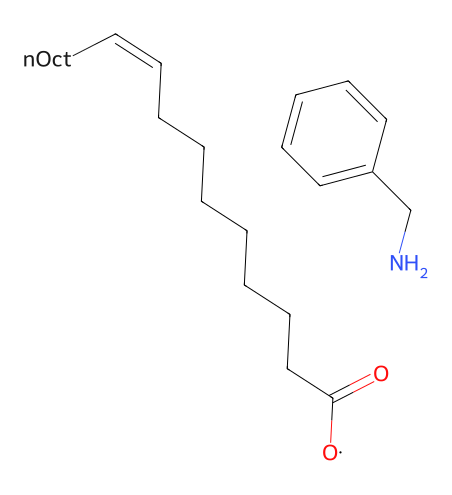 CCCCCCCC/C=C\CCCCCCCC([O])=O.NCc1ccccc1